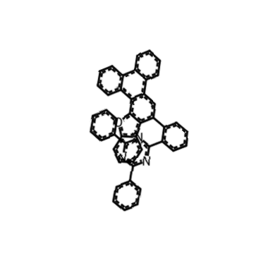 c1ccc(-c2nc(-c3ccccc3)nc(-c3ccccc3-c3cc4c5ccccc5c5ccccc5c4c4oc5ccccc5c34)n2)cc1